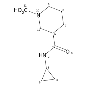 O=C(NC1CC1)C1CCCN(C(=O)O)C1